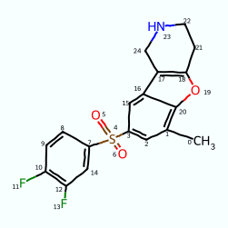 Cc1cc(S(=O)(=O)c2ccc(F)c(F)c2)cc2c3c(oc12)CCNC3